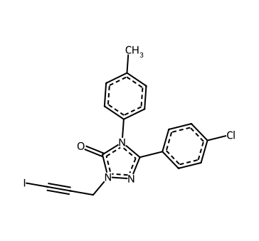 Cc1ccc(-n2c(-c3ccc(Cl)cc3)nn(CC#CI)c2=O)cc1